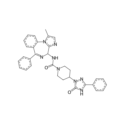 Cc1cnc2n1-c1ccccc1C(c1ccccc1)=NC2NC(=O)N1CCC(n2nc(-c3ccccc3)[nH]c2=O)CC1